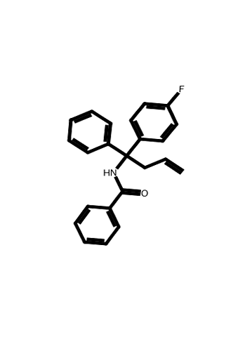 C=CCC(NC(=O)c1ccccc1)(c1ccccc1)c1ccc(F)cc1